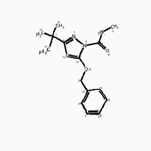 CNC(=O)n1nc(C(C)(C)C)nc1OCc1ccccc1